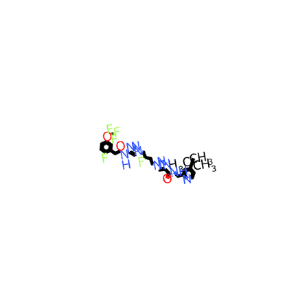 CC(C)(C)c1ccnc(CNC(=O)c2cn(CCC(F)Cn3cc(NC(=O)Cc4cc(OC(F)(F)F)ccc4F)nn3)nn2)c1